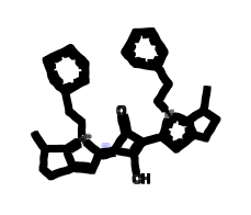 CC1CCC2=C/C(=C3/C(=O)C(c4cc5c(n4CCc4ccccc4)C(C)CC5)=C3O)[N+](CCc3ccccc3)=C21